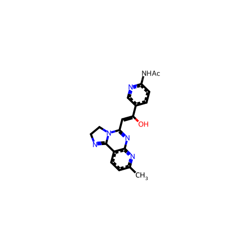 CC(=O)Nc1ccc(/C(O)=C/C2=Nc3nc(C)ccc3C3=NCCN23)cn1